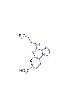 O=C(O)c1ccc2c(c1)N=C(NCCC(F)(F)F)C1=CCCN12